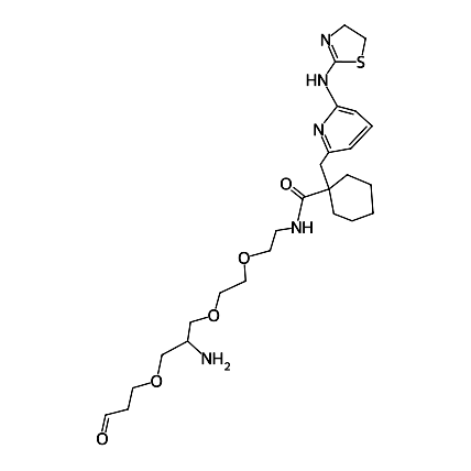 NC(COCCC=O)COCCOCCNC(=O)C1(Cc2cccc(NC3=NCCS3)n2)CCCCC1